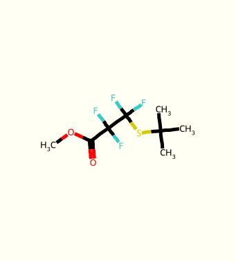 COC(=O)C(F)(F)C(F)(F)SC(C)(C)C